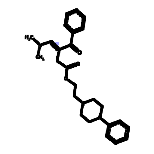 CN(C)/C=C(\CC(=O)OCCN1CCN(c2ccccc2)CC1)C(=O)c1ccccc1